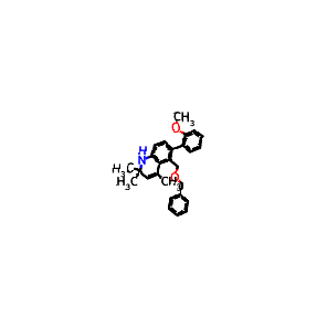 COc1ccccc1-c1ccc2c(c1COCc1ccccc1)C(C)=CC(C)(C)N2